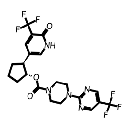 O=C(O[C@@H]1CCC[C@H]1c1c[nH]c(=O)c(C(F)(F)F)c1)N1CCN(c2ncc(C(F)(F)F)cn2)CC1